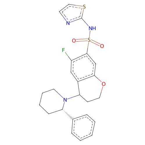 O=S(=O)(Nc1nccs1)c1cc2c(cc1F)C(N1CCCC[C@H]1c1ccccc1)CCO2